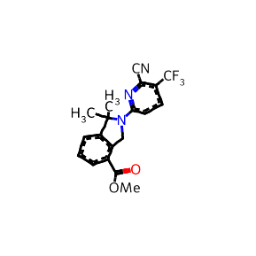 COC(=O)c1cccc2c1CN(c1ccc(C(F)(F)F)c(C#N)n1)C2(C)C